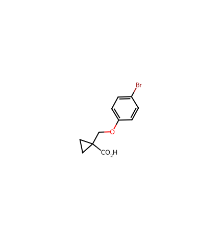 O=C(O)C1(COc2ccc(Br)cc2)CC1